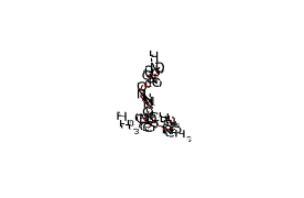 COc1cc(-c2cn(C)c(=O)c3cnccc23)cc(OC)c1CN(C)CCOCCn1cc(CN2CC(Oc3ccc4c(c3)C(=O)N(C3CCC(=O)NC3=O)C4=O)C2)nn1